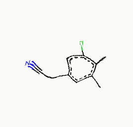 Cc1cc(CC#N)cc(Cl)c1C